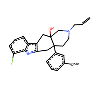 C=CCN1CCC2(c3cccc(OC)c3)Cc3[nH]c4c(F)cccc4c3CC2(O)C1